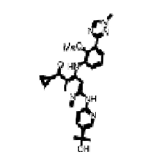 C=N/C(=C\C(Nc1cccc(-c2ncn(C)n2)c1OC)=C(/C)C(=O)C1CC1)Nc1ccc(C(C)(C)O)cn1